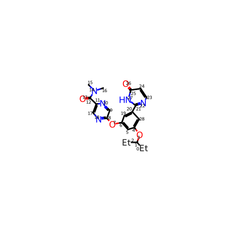 CCC(CC)Oc1cc(Oc2cnc(C(=O)N(C)C)cn2)cc(-c2nccc(=O)[nH]2)c1